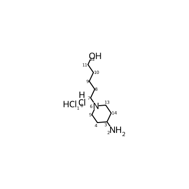 Cl.Cl.NC1CCN(CCCCCO)CC1